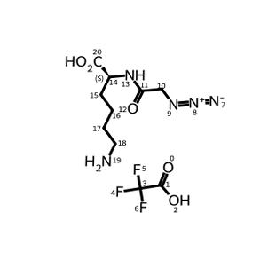 O=C(O)C(F)(F)F.[N-]=[N+]=NCC(=O)N[C@@H](CCCCN)C(=O)O